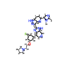 Cc1ncc(-c2ccc3[nH]nc(-c4nc5c(-c6cc(F)cc(OCCN7CCCC7)c6)cncc5[nH]4)c3n2)n1C